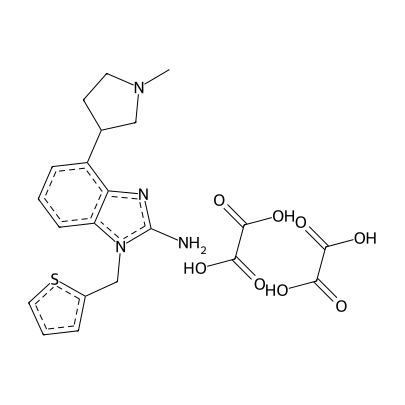 CN1CCC(c2cccc3c2nc(N)n3Cc2cccs2)C1.O=C(O)C(=O)O.O=C(O)C(=O)O